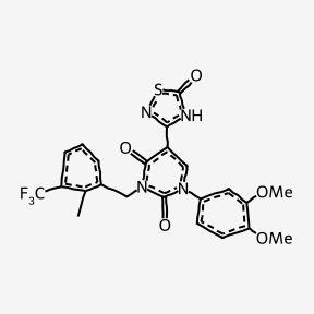 COc1ccc(-n2cc(-c3nsc(=O)[nH]3)c(=O)n(Cc3cccc(C(F)(F)F)c3C)c2=O)cc1OC